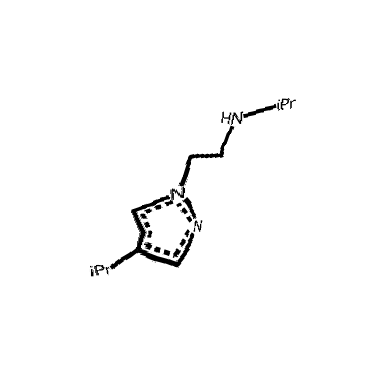 CC(C)NCCn1cc(C(C)C)cn1